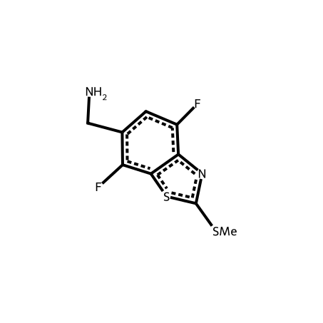 CSc1nc2c(F)cc(CN)c(F)c2s1